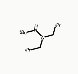 CC(C)CN(CC(C)C)NC(C)(C)C